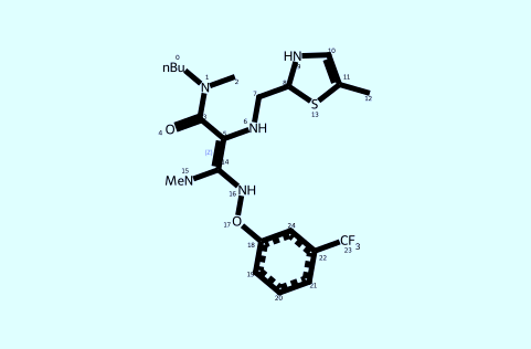 CCCCN(C)C(=O)/C(NCC1NC=C(C)S1)=C(\NC)NOc1cccc(C(F)(F)F)c1